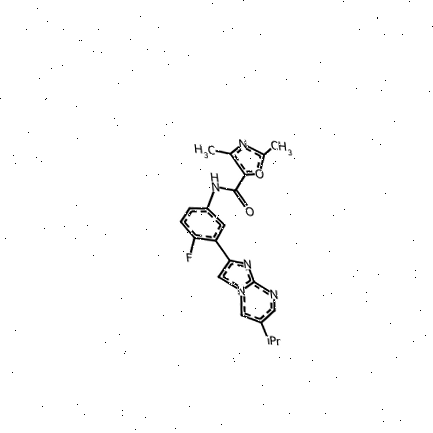 Cc1nc(C)c(C(=O)Nc2ccc(F)c(-c3cn4cc(C(C)C)cnc4n3)c2)o1